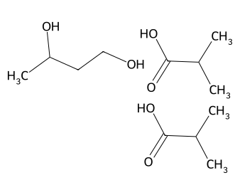 CC(C)C(=O)O.CC(C)C(=O)O.CC(O)CCO